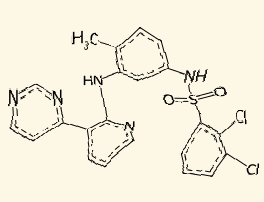 Cc1ccc(NS(=O)(=O)c2cccc(Cl)c2Cl)cc1Nc1ncccc1-c1ccncn1